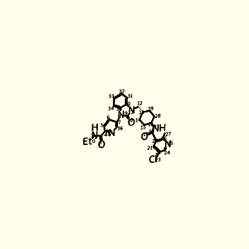 CCNC(=O)c1ccc(-n2c(=O)n(C[C@H]3CC[C@H](NC(=O)c4cc(Cl)cnc4C)CC3)c3ccccc32)cn1